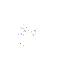 CCC(C)c1cnc2c(NCCc3ccc(C)cc3)cc(-c3cncc(C#N)c3)cn12